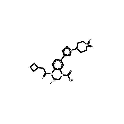 C[C@H]1CN(C(=O)O)c2cc(-c3cnn(C4CCS(=O)(=O)CC4)c3)ccc2N1C(=O)CC1CCC1